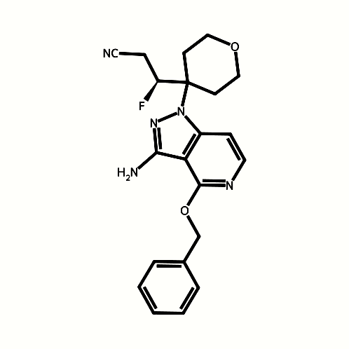 N#CC[C@H](F)C1(n2nc(N)c3c(OCc4ccccc4)nccc32)CCOCC1